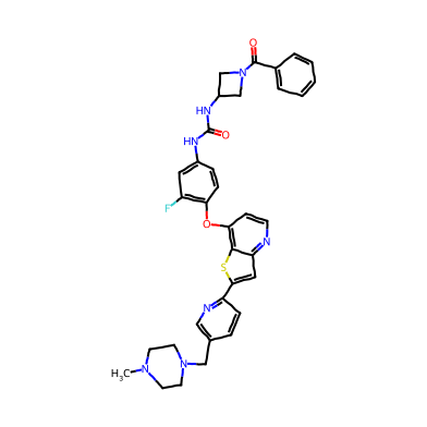 CN1CCN(Cc2ccc(-c3cc4nccc(Oc5ccc(NC(=O)NC6CN(C(=O)c7ccccc7)C6)cc5F)c4s3)nc2)CC1